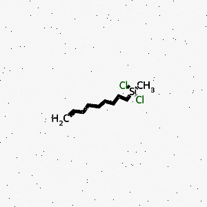 C=CCCCCCCC[Si](C)(Cl)Cl